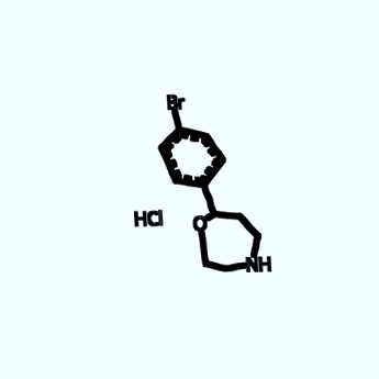 Brc1ccc(C2CCNCCO2)cc1.Cl